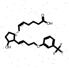 O=C(O)CCC/C=C\C[C@H]1CCC(O)C1/C=C/CCOc1cccc(C(F)(F)F)c1